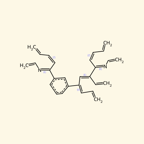 C=C\C=C/C(=N\C=C)C(/C=C)=C/C(=C\C=C)c1cccc(C(/C=C\C=C)=N/C=C)c1